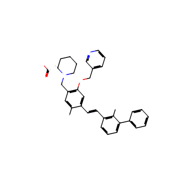 Cc1cc(CN2CCCC[C@H]2C(=O)O)c(OCc2cccnc2)cc1/C=C/c1cccc(-c2ccccc2)c1C